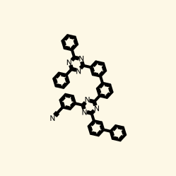 N#Cc1cccc(-c2nc(-c3cccc(-c4ccccc4)c3)nc(-c3cccc(-c4cccc(-c5nc(-c6ccccc6)nc(-c6ccccc6)n5)c4)c3)n2)c1